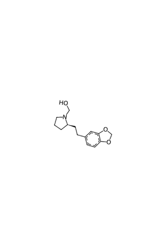 OCN1CCC[C@@H]1CCc1ccc2c(c1)OCO2